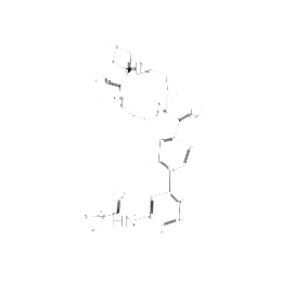 O=C(Nc1cccc(-c2ccc(C(=O)N3CCNC(=O)C4(CCC4)NCC3)cc2)c1)C1CC1